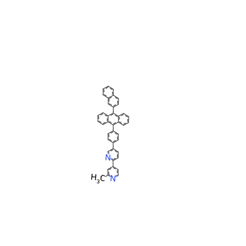 Cc1cc(-c2ccc(-c3ccc(-c4c5ccccc5c(-c5ccc6ccccc6c5)c5ccccc45)cc3)cn2)ccn1